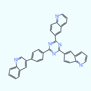 c1ccc2ncc(-c3ccc(-c4nc(-c5ccc6ncccc6c5)nc(-c5ccc6ncccc6c5)n4)cc3)cc2c1